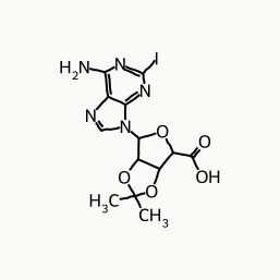 CC1(C)OC2C(C(=O)O)OC(n3cnc4c(N)nc(I)nc43)C2O1